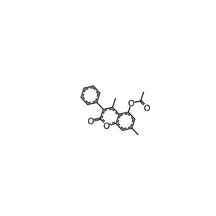 CC(=O)Oc1cc(C)cc2oc(=O)c(-c3ccccc3)c(C)c12